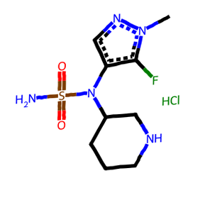 Cl.Cn1ncc(N(C2CCCNC2)S(N)(=O)=O)c1F